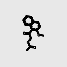 COc1ccc2ccccc2c1C(=O)COC(C)=O